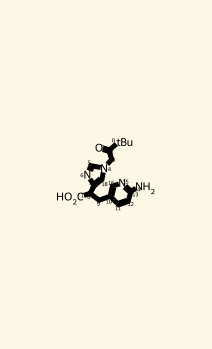 CC(C)(C)C(=O)Cn1cnc(C(Cc2ccc(N)nc2)C(=O)O)c1